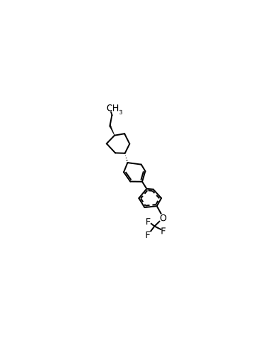 CCC[C@H]1CC[C@H](C2C=CC(c3ccc(OC(F)(F)F)cc3)=CC2)CC1